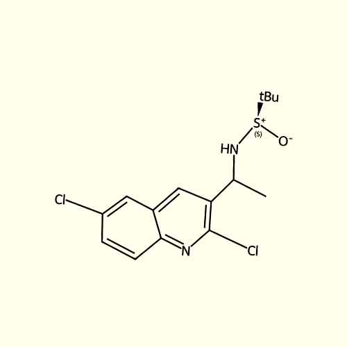 CC(N[S@+]([O-])C(C)(C)C)c1cc2cc(Cl)ccc2nc1Cl